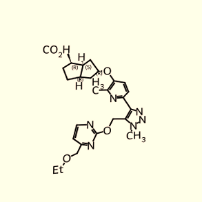 CCOCc1ccnc(OCc2c(-c3ccc(O[C@@H]4C[C@H]5CC[C@@H](C(=O)O)[C@H]5C4)c(C)n3)nnn2C)n1